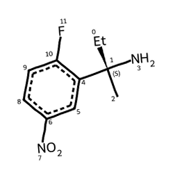 CC[C@](C)(N)c1cc([N+](=O)[O-])ccc1F